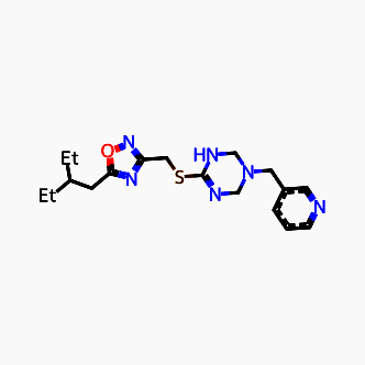 CCC(CC)Cc1nc(CSC2=NCN(Cc3cccnc3)CN2)no1